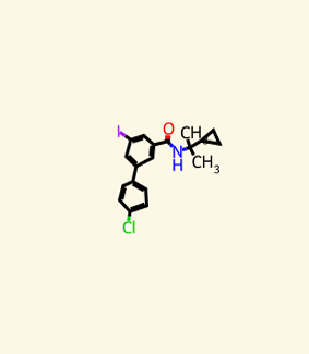 CC(C)(NC(=O)c1cc(I)cc(-c2ccc(Cl)cc2)c1)C1CC1